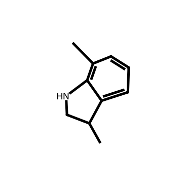 Cc1cccc2c1NCC2C